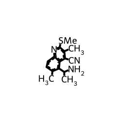 CSc1nc2ccc(C)c(C(C)N)c2c(C#N)c1C